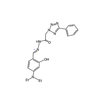 CCN(CC)c1ccc(/C=N/NC(=O)Cn2nnc(-c3ccccc3)n2)c(O)c1